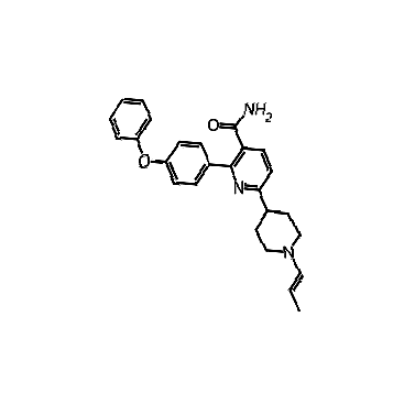 CC=CN1CCC(c2ccc(C(N)=O)c(-c3ccc(Oc4ccccc4)cc3)n2)CC1